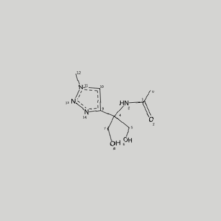 CC(=O)NC(CO)(CO)c1cn(C)nn1